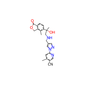 Cc1cc(-n2cc(CNCC(C)(O)c3ccc4c(c3C)COC4=O)cn2)ncc1C#N